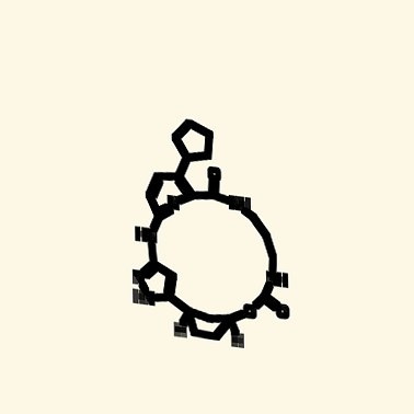 O=C1NCCCNC(=O)c2nc(ccc2C2CCCC2)Nc2cc([nH]n2)[C@H]2CC[C@H](C2)O1